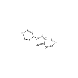 C1=CC(n2nc3ccccc3n2)CCC1